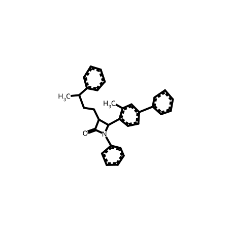 Cc1cc(-c2ccccc2)ccc1C1C(CCC(C)c2ccccc2)C(=O)N1c1ccccc1